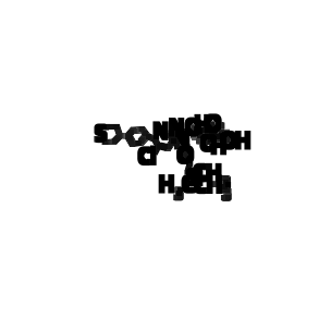 C[Si](C)(C)CCOCn1c(O[C@@H]2CO[C@H]3[C@@H]2OC[C@H]3O)nc2nc(-c3ccc(C4CCSCC4)cc3)c(Cl)cc21